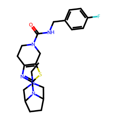 CCN1CC2CCC(C1)N2c1nc2c(s1)CN(C(=O)NCc1ccc(F)cc1)CC2